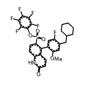 COc1cc(CC2CCCCC2)c(F)cc1-c1c(S(=O)(=O)Oc2c(F)c(F)c(F)c(F)c2F)ccc2[nH]c(=O)ccc12